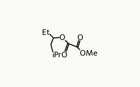 CCC(CC(C)C)OC(=O)C(=O)OC